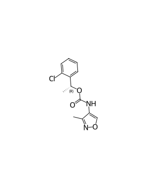 Cc1nocc1NC(=O)O[C@H](C)c1ccccc1Cl